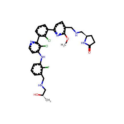 COc1nc(-c2cccc(-c3nccc(Nc4cccc(CNC[C@H](C)O)c4F)c3Cl)c2Cl)ccc1CNC[C@H]1CCC(=O)N1